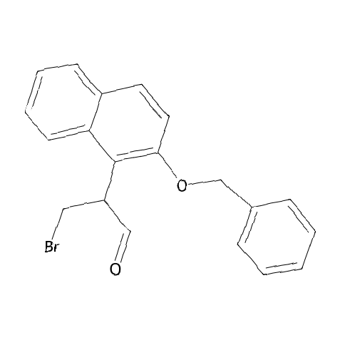 O=CC(CBr)c1c(OCc2ccccc2)ccc2ccccc12